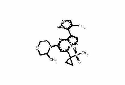 Cc1cn[nH]c1-c1cnn2c(C3(S(C)(=O)=O)CC3)cc(N3CCOCC3C)nc12